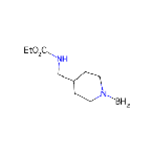 BN1CCC(CNC(=O)OCC)CC1